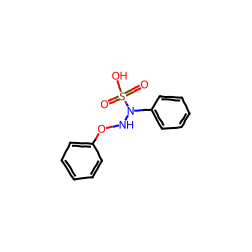 O=S(=O)(O)N(NOc1ccccc1)c1ccccc1